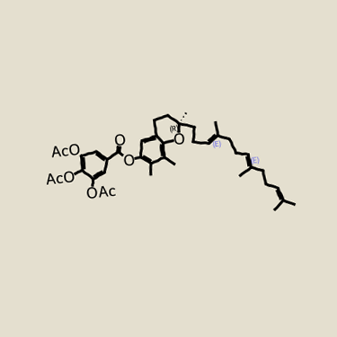 CC(=O)Oc1cc(C(=O)Oc2cc3c(c(C)c2C)O[C@](C)(CC/C=C(\C)CC/C=C(\C)CCC=C(C)C)CC3)cc(OC(C)=O)c1OC(C)=O